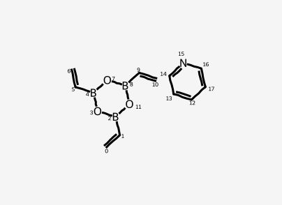 C=CB1OB(C=C)OB(C=C)O1.c1ccncc1